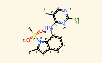 Cc1cc2cccc(Nc3nc(Cl)ncc3Cl)c2n1S(C)(=O)=O